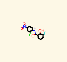 O=C(Nc1ccc([N+](=O)[O-])cc1Cl)c1cccc(F)c1O